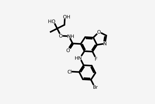 CC(O)(CO)ONC(=O)c1cc2ocnc2c(F)c1Nc1ccc(Br)cc1Cl